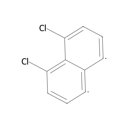 Clc1cc[c]c2[c]ccc(Cl)c12